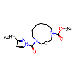 CC(=O)Nc1ccn(C(=O)N2CCCCCCN(C(=O)OC(C)(C)C)CCC2)n1